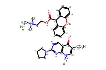 CC[N+](C)(CC)CCOC(=O)C1c2ccccc2Oc2ccccc21.CCn1cc(C(=O)O)c(=O)c2cnc(N3CCCC3)nc21.[Br-]